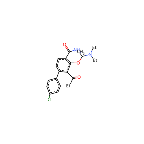 CCC(=O)c1c(-c2ccc(Cl)cc2)ccc(C(N)=O)c1OC(C)N(CC)CC